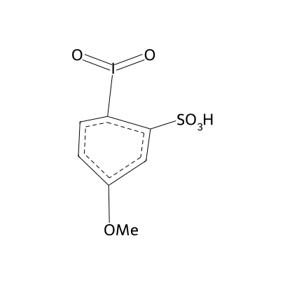 COc1ccc(I(=O)=O)c(S(=O)(=O)O)c1